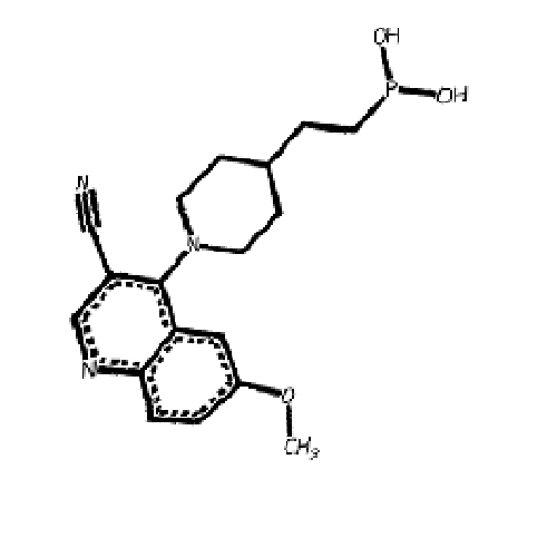 COc1ccc2ncc(C#N)c(N3CCC(CCP(O)O)CC3)c2c1